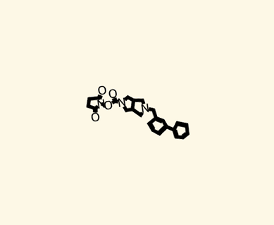 O=C(ON1C(=O)CCC1=O)N1CC2CN(Cc3cccc(-c4ccccc4)c3)CC2C1